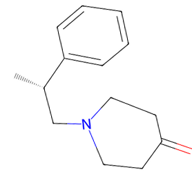 C[C@@H](CN1CCC(=O)CC1)c1ccccc1